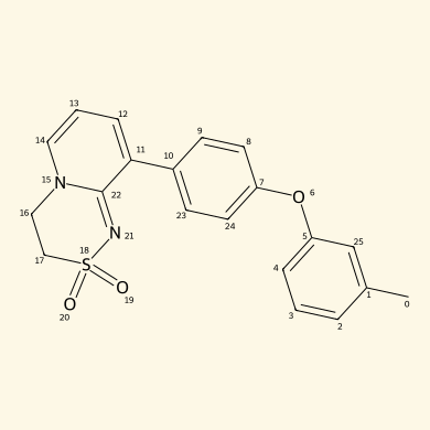 Cc1cccc(Oc2ccc(C3=CC=CN4CCS(=O)(=O)N=C34)cc2)c1